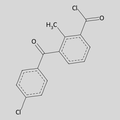 Cc1c(C(=O)Cl)cccc1C(=O)c1ccc(Cl)cc1